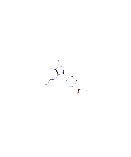 Cc1c(NCCO)c(N2CCN(C(=O)OC(C)(C)C)CC2)nn1C